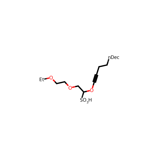 CCCCCCCCCCCCC#COC(COCCOCC)S(=O)(=O)O